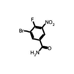 NC(=O)c1cc(Br)c(F)c([N+](=O)[O-])c1